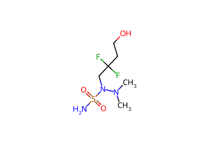 CN(C)N(CC(F)(F)CCO)S(N)(=O)=O